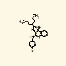 CCCC(CCC)c1nc2c(Nc3ccc(Br)cc3)nc3ccccc3c2[nH]1